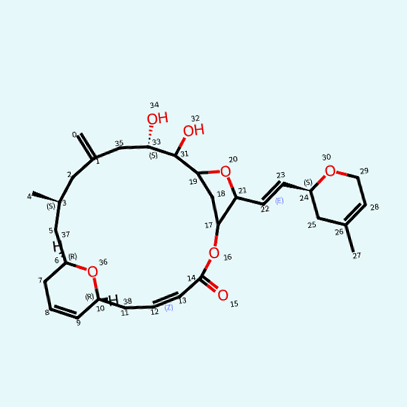 C=C1C[C@H](C)C[C@@H]2CC=C[C@@H](C/C=C\C(=O)OC3CC(OC3/C=C/[C@@H]3CC(C)=CCO3)C(O)[C@@H](O)C1)O2